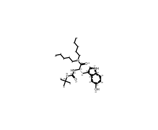 CCCCCN(CCCCC)C(=O)[C@H](Cc1c[nH]c2ccc(O)cc12)NC(=O)OC(C)(C)C